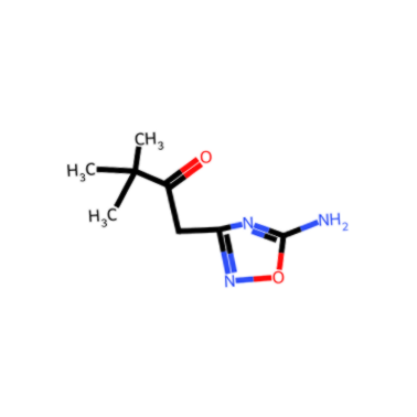 CC(C)(C)C(=O)Cc1noc(N)n1